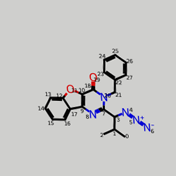 CC(C)C(N=[N+]=[N-])c1nc2c(oc3ccccc32)c(=O)n1Cc1ccccc1